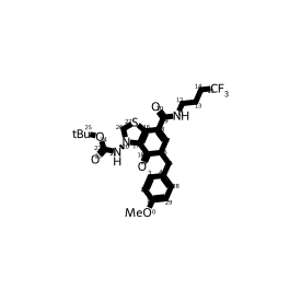 COc1ccc(CC2C=C(C(=O)NCCCC(F)(F)F)C3=C(C2=O)N(NC(=O)OC(C)(C)C)CS3)cc1